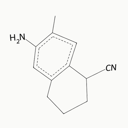 Cc1cc2c(cc1N)CCCC2C#N